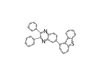 c1ccc(-c2nc3ccc(-c4cccc5sc6ccccc6c45)cc3nc2-c2ccccc2)cc1